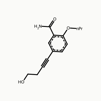 CCCOc1ccc(C#CCCO)cc1C(N)=O